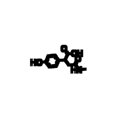 CNC(=O)CC(C(=O)O)c1ccc(O)cc1